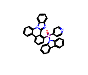 O=P(c1ccncc1)(c1cccc2c3ccccc3n3c4ccccc4nc3c12)n1c2ccccc2c2ccccc21